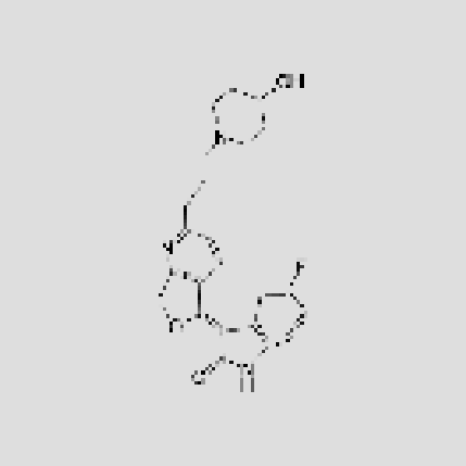 O=C1Nc2ccc(F)cc2/C1=C1/OCc2nc(CCCN3CCC(O)CC3)ccc21